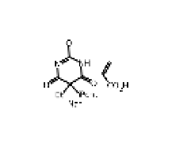 C=CC(=O)O.CCCC(C)C1(CC)C(=O)N=C([O-])NC1=O.[Na+]